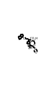 Cc1c2c(nn1C)C(CCN1CCOCC1)OCCCCn1c(C(=O)O)c(CCCOc3cccc4ccccc34)c3cccc-2c31